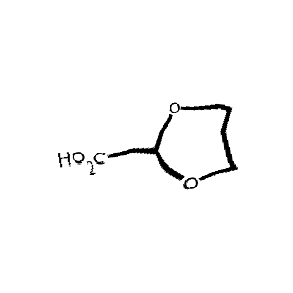 O=C(O)C1OCCO1